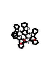 c1ccc(-c2nc(-c3ccccc3)nc(-c3c(-n4c5ccccc5c5ccccc54)c(-n4c5ccccc5c5ccccc54)c4c(oc5ccccc54)c3-n3c4ccccc4c4ccccc43)n2)cc1